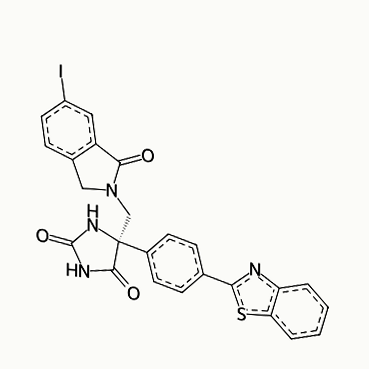 O=C1NC(=O)[C@](CN2Cc3ccc(I)cc3C2=O)(c2ccc(-c3nc4ccccc4s3)cc2)N1